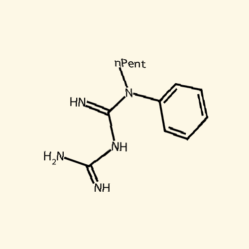 CCCCCN(C(=N)NC(=N)N)c1ccccc1